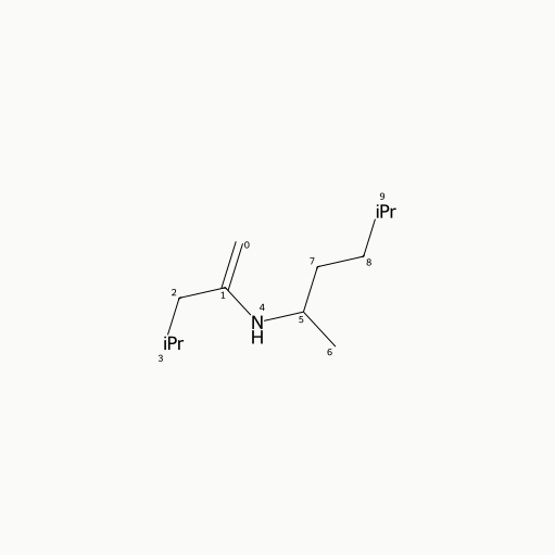 C=C(CC(C)C)NC(C)CCC(C)C